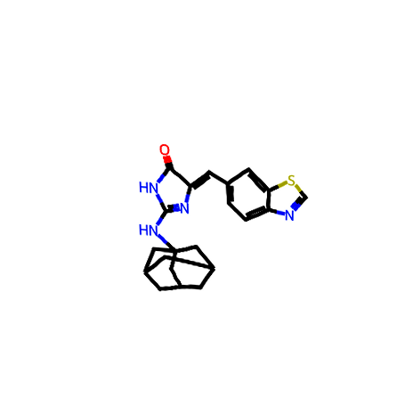 O=C1NC(NC23CC4CC(CC(C4)C2)C3)=N/C1=C\c1ccc2ncsc2c1